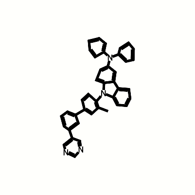 Cc1cc(-c2cccc(-c3cncnc3)c2)ccc1-n1c2ccccc2c2cc(N(c3ccccc3)c3ccccc3)ccc21